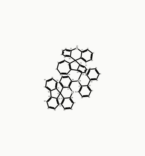 C1=CC2=C(C=CC1)C1(c3ccccc3Oc3ccccc31)c1cccc(N(c3ccccc3-c3ccccc3)c3cccc4c3Oc3ccccc3C43c4ccccc4-c4ccccc43)c12